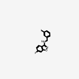 Fc1ccc2c(NCc3cccc(I)c3)noc2c1